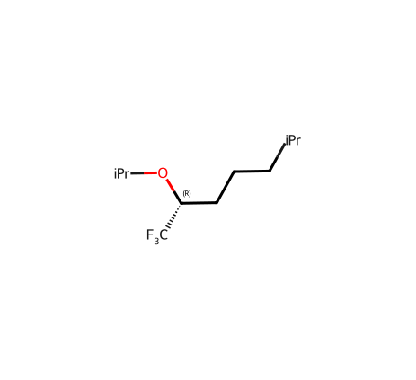 CC(C)CCC[C@@H](OC(C)C)C(F)(F)F